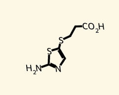 Nc1ncc(SCCC(=O)O)s1